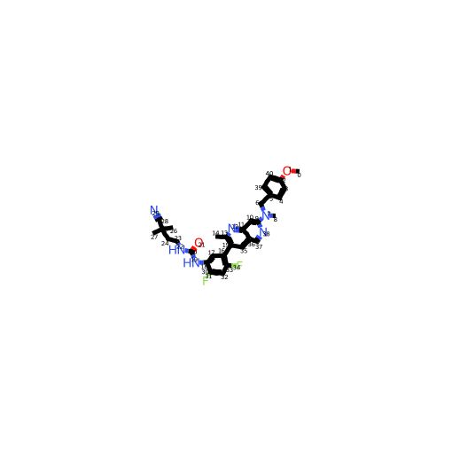 COc1ccc(CN(C)c2cc3nc(C)c(-c4cc(NC(=O)NCCC(C)(C)C#N)c(F)cc4F)cc3cn2)cc1